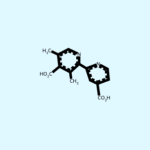 Cc1cnc(-c2cc(C(=O)O)ccn2)c(C)c1C(=O)O